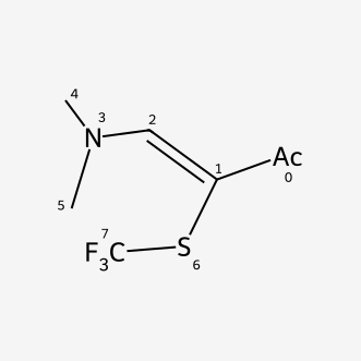 CC(=O)C(=CN(C)C)SC(F)(F)F